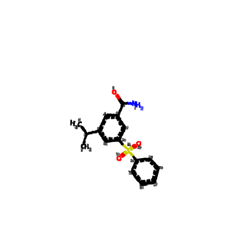 CC(C)c1cc(C(N)=O)cc(S(=O)(=O)c2ccccc2)c1